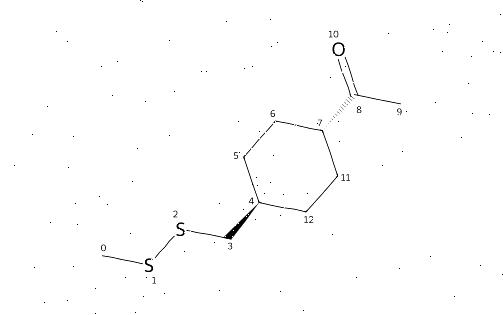 CSSC[C@H]1CC[C@H](C(C)=O)CC1